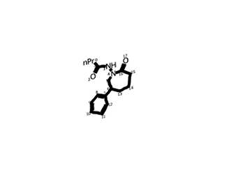 CCCC(=O)NN1CC(c2ccccc2)CCCC1=O